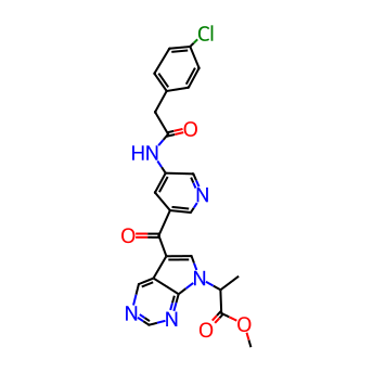 COC(=O)C(C)n1cc(C(=O)c2cncc(NC(=O)Cc3ccc(Cl)cc3)c2)c2cncnc21